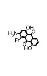 CCc1c(N)cc(O)c2c1C(=O)c1c(O)cccc1C2=O